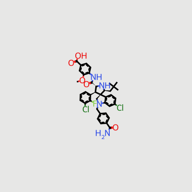 COc1cc(C(=O)O)ccc1NC(=O)[C@@H]1N[C@@H](CC(C)(C)C)[C@@]2(CN(Cc3ccc(C(N)=O)cc3)c3cc(Cl)ccc32)[C@H]1c1cccc(Cl)c1F